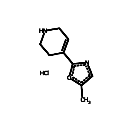 Cc1cnc(C2=CCNCC2)o1.Cl